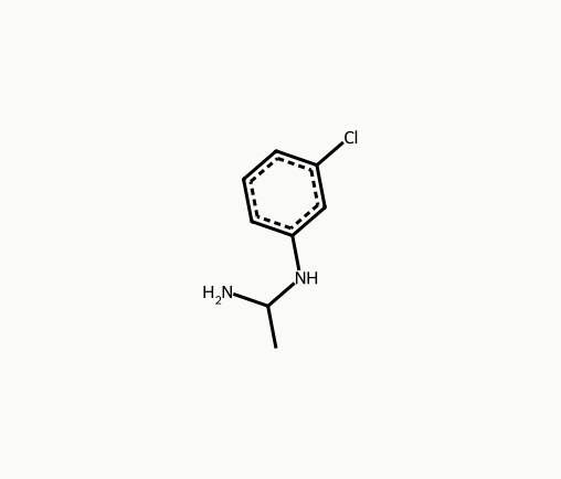 CC(N)Nc1cccc(Cl)c1